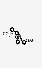 COc1cccc(CCN(Cc2ccc(-c3ccccc3C(=O)O)cc2)C(=O)c2ccccc2)c1